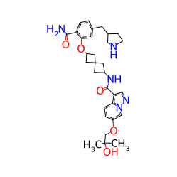 CC(C)(O)COc1ccc2c(C(=O)NC3CC4(C3)CC(Oc3cc(CC5CCNC5)ccc3C(N)=O)C4)cnn2c1